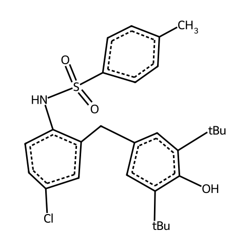 Cc1ccc(S(=O)(=O)Nc2ccc(Cl)cc2Cc2cc(C(C)(C)C)c(O)c(C(C)(C)C)c2)cc1